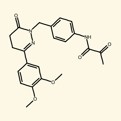 COc1ccc(C2=NN(Cc3ccc(NC(=O)C(C)=O)cc3)C(=O)CC2)cc1OC